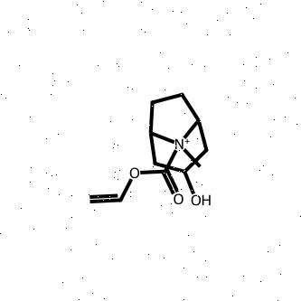 C=COC(=O)[N+]1(C)C2CCC1CC(O)C2